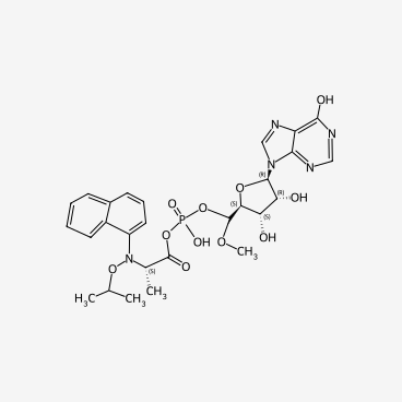 COC(OP(=O)(O)OC(=O)[C@H](C)N(OC(C)C)c1cccc2ccccc12)[C@H]1O[C@@H](n2cnc3c(O)ncnc32)[C@H](O)[C@@H]1O